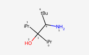 CC(C)C(O)(C(C)C)C(N)C(C)(C)C